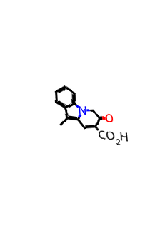 Cc1c2n(c3ccccc13)CC(=O)C(C(=O)O)=C2